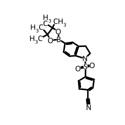 CC1(C)OB(c2ccc3c(c2)CCN3S(=O)(=O)c2ccc(C#N)cc2)OC1(C)C